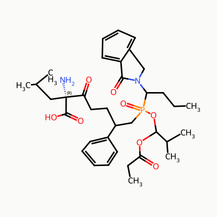 CCCC(N1Cc2ccccc2C1=O)P(=O)(CC(CCC(=O)[C@](N)(CC(C)C)C(=O)O)c1ccccc1)OC(OC(=O)CC)C(C)C